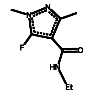 [CH2]CNC(=O)c1c(C)nn(C)c1F